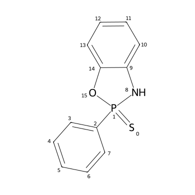 S=P1(c2ccccc2)Nc2ccccc2O1